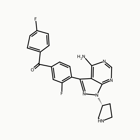 Nc1ncnc2c1c(-c1ccc(C(=O)c3ccc(F)cc3)cc1F)nn2[C@@H]1CCNC1